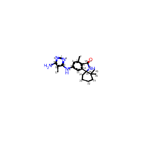 Cc1cc(Nc2ncnc(N)c2C)cc2c1C(=O)NC21CCCCC1(C)C